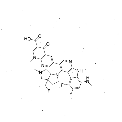 CNc1cc(F)c(F)c2c1[nH]c1ncc(-c3cnc4c(c3)c(=O)c(C(=O)O)cn4C)c(N3CCC4(CF)CN(C)CC34)c12